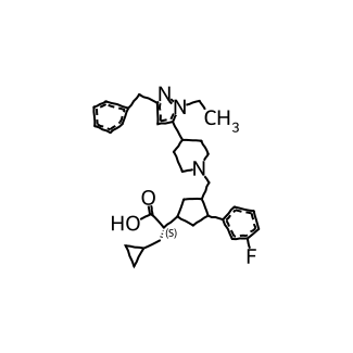 CCn1nc(Cc2ccccc2)cc1C1CCN(CC2CC([C@H](CC3CC3)C(=O)O)CC2c2cccc(F)c2)CC1